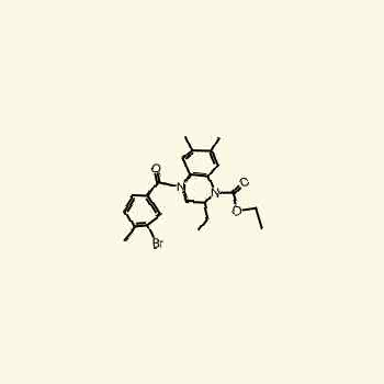 CCOC(=O)N1c2cc(C)c(C)cc2N(C(=O)c2ccc(C)c(Br)c2)CC1CC